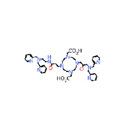 O=C(O)CN1CCN(CCC(=O)NCCN(Cc2ccccn2)Cc2ccccn2)CCN(CC(=O)O)CCN(CC(=O)CN(Cc2ccccn2)Cc2ccccn2)CC1